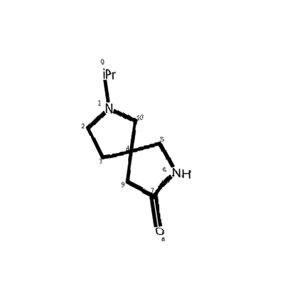 CC(C)N1CCC2(CNC(=O)C2)C1